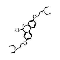 CCN(CC)CCOc1ccc2c(c1)nc(Cl)c1cc(OCCN(CC)CC)ccc12